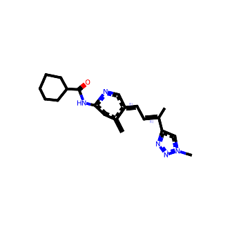 C=c1cc(NC(=O)C2CCCCC2)nc/c1=C/C=C(\C)c1cn(C)nn1